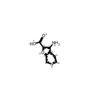 Nc1c(C(=O)O)oc2cnccc12